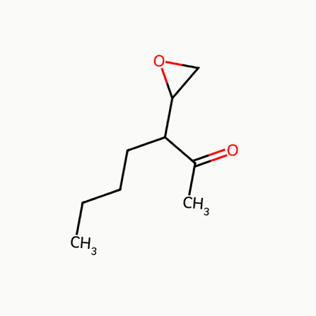 CCCCC(C(C)=O)C1CO1